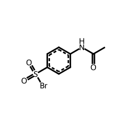 CC(=O)Nc1ccc(S(=O)(=O)Br)cc1